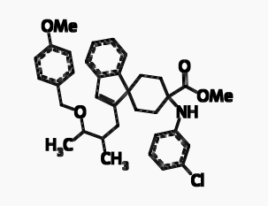 COC(=O)C1(Nc2cccc(Cl)c2)CCC2(CC1)C(CC(C)C(C)OCc1ccc(OC)cc1)=Cc1ccccc12